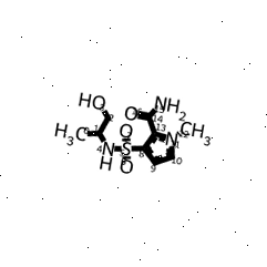 CC(CO)NS(=O)(=O)c1ccn(C)c1C(N)=O